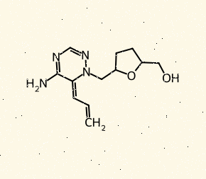 C=C/C=C1/C(N)=NC=NN1CC1CCC(CO)O1